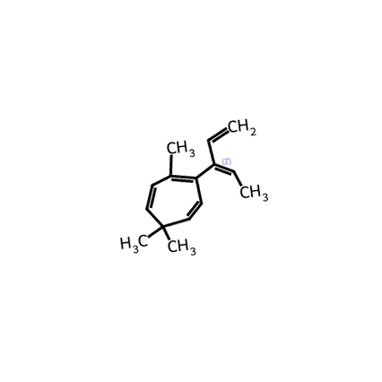 C=C/C(=C/C)C1=C(C)C=CC(C)(C)C=C1